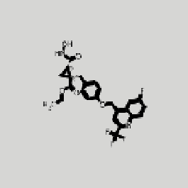 CCOC(=O)[C@@]1(Cc2ccc(OCc3cc(C(F)(F)F)nc4ccc(F)cc34)cc2)C[C@@H]1C(=O)NO